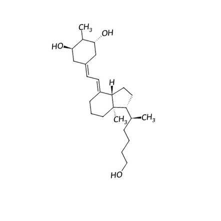 CC1[C@H](O)CC(=C/C=C2\CCC[C@]3(C)[C@@H]([C@@H](C)CCCCO)CC[C@@H]23)C[C@H]1O